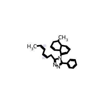 C/C=C\C=C/Cc1nnc(-c2ccccc2)n1C1=CC=CC2C(C)CC=CC12